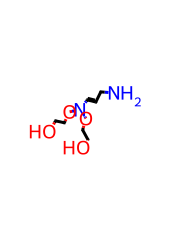 NCC=CN(OCCO)OCCO